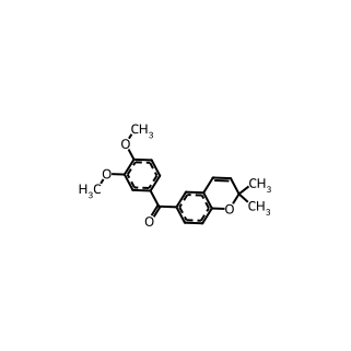 COc1ccc(C(=O)c2ccc3c(c2)C=CC(C)(C)O3)cc1OC